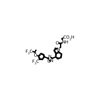 CC(Oc1ccc(-c2nc(-c3cccc4c3ccn4CC(=O)NCC(=O)O)no2)cc1C(F)(F)F)C(F)(F)F